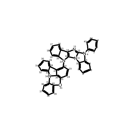 c1ccc(-n2c3ccccc3n3c2nc2c4ccccc4n(-c4ccc5c6c4c4ccccc4n6-c4ccccc4O5)c23)cc1